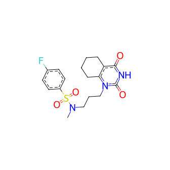 CN(CCCn1c2c(c(=O)[nH]c1=O)CCCC2)S(=O)(=O)c1ccc(F)cc1